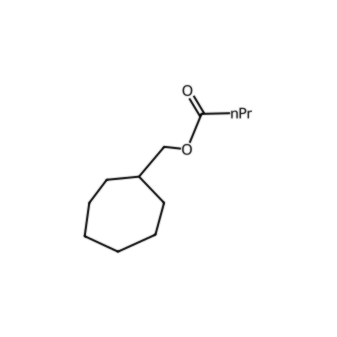 [CH2]CCC(=O)OCC1CCCCCC1